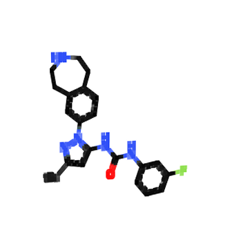 CC(C)(C)c1cc(NC(=O)Nc2cccc(F)c2)n(-c2ccc3c(c2)CCNCC3)n1